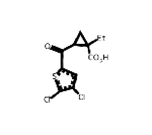 CCC1(C(=O)O)CC1C(=O)c1cc(Cl)c(Cl)s1